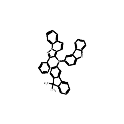 CC1(C)c2ccccc2-c2cc(N(c3ccc4oc5ccccc5c4c3)c3c(-c4ccccc4)nn4c3ccc3ccccc34)ccc21